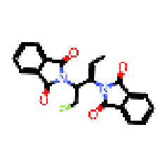 C/C=C(/C(CF)N1C(=O)c2ccccc2C1=O)N1C(=O)c2ccccc2C1=O